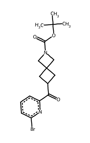 CC(C)(C)OC(=O)N1CC2(CC(C(=O)c3cccc(Br)n3)C2)C1